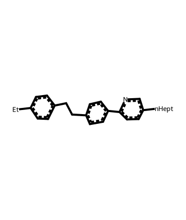 CCCCCCCc1ccc(-c2ccc(CCc3ccc(CC)cc3)cc2)nc1